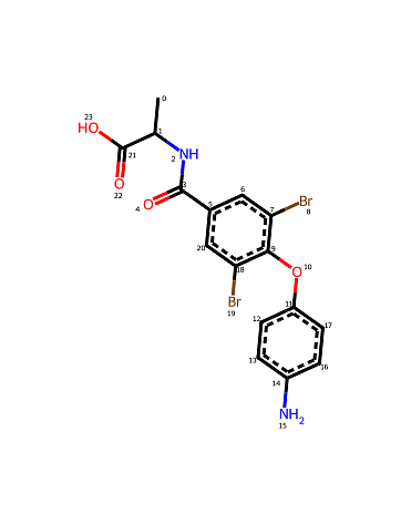 CC(NC(=O)c1cc(Br)c(Oc2ccc(N)cc2)c(Br)c1)C(=O)O